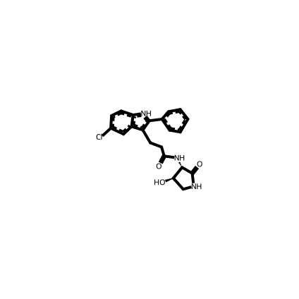 O=C(CCc1c(-c2ccccc2)[nH]c2ccc(Cl)cc12)N[C@@H]1C(=O)NC[C@H]1O